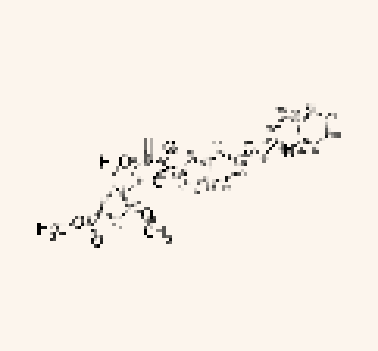 COC(=O)c1ccc(CC(C)NS(=O)(=O)c2ccc3ccc(OCc4ccc5ccccc5n4)cc3c2)c(OC)c1